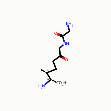 C[C@@H](CCC(=O)CNC(=O)CN)[C@H](N)C(=O)O